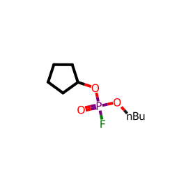 CCCCOP(=O)(F)OC1CCCC1